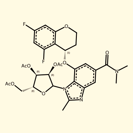 CC(=O)OC[C@H]1OC(n2c(C)nc3cc(C(=O)N(C)C)cc(O[C@H]4CCOc5cc(F)cc(F)c54)c32)[C@H](OC(C)=O)[C@@H]1OC(C)=O